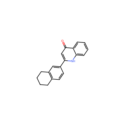 O=c1cc(-c2ccc3c(c2)CCCC3)[nH]c2ccccc12